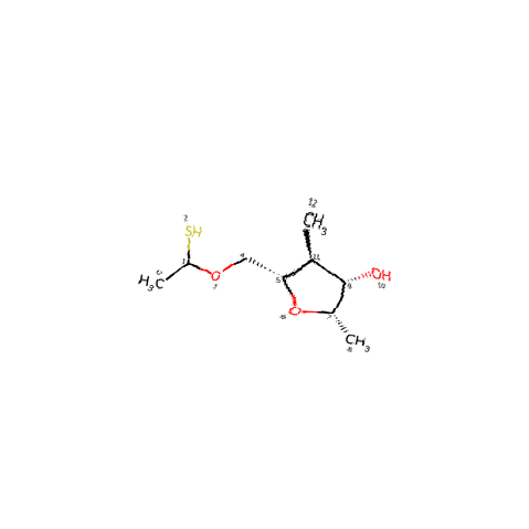 CC(S)OC[C@H]1O[C@@H](C)[C@@H](O)[C@@H]1C